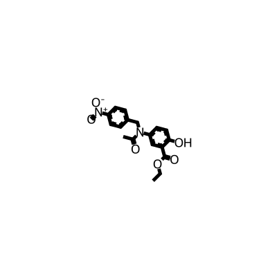 CCOC(=O)c1cc(N(Cc2ccc([N+](=O)[O-])cc2)C(C)=O)ccc1O